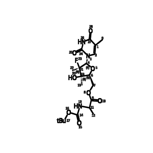 Cc1cn([C@@H]2O[C@@H](COC(=O)C(C)NC(=O)OC(C)(C)C)[C@@](C)(O)[C@@]2(C)F)c(=O)[nH]c1=O